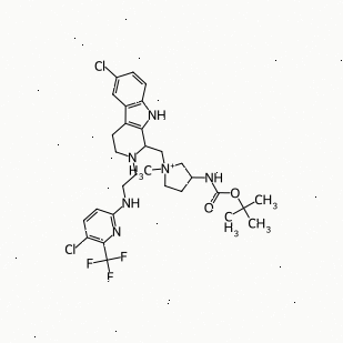 CC(C)(C)OC(=O)NC1CC[N+](C)(CC2c3[nH]c4ccc(Cl)cc4c3CCN2CCNc2ccc(Cl)c(C(F)(F)F)n2)C1